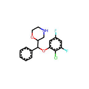 Fc1cc(F)c(Cl)c(OC(c2ccccc2)C2CNCCO2)c1